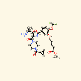 COC(=O)CCCCOc1cc(-c2nc(C(=O)N3CCN(C(=O)C4CC4)CC3)c([C@H](C)N)o2)ccc1OC(F)F